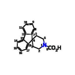 O=C(O)N1CCC2(CC1)c1ccccc1-c1ccccc12